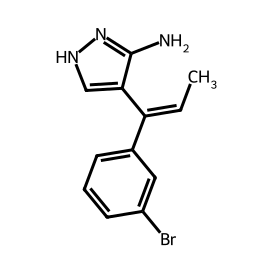 CC=C(c1cccc(Br)c1)c1c[nH]nc1N